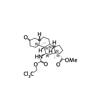 COC(=O)[C@H]1CC[C@H]2[C@@H]3CC[C@H]4CC(=O)CC[C@]4(C)[C@H]3[C@H](NC(=O)OCC(Cl)(Cl)Cl)C[C@]12C